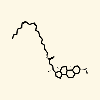 CCCCC/C=C\C/C=C\CCCCCCCCOC(=O)CC[C@@H](C)C1CCC2C3CCC4C[C@H](OC)CC[C@]4(C)C3CC[C@@]21C